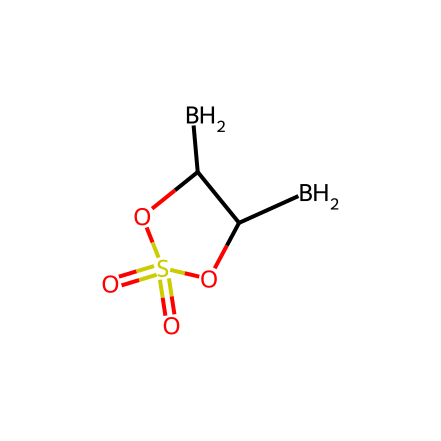 BC1OS(=O)(=O)OC1B